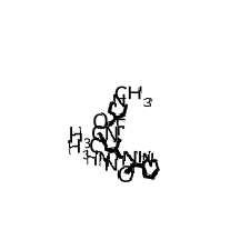 CN1CCC(F)(C(=O)N2Cc3c(NC(=O)c4ccccn4)n[nH]c3C2(C)C)CC1